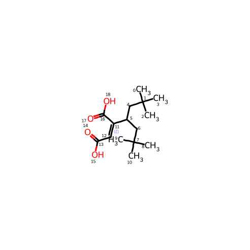 CC(C)(C)CC(CC(C)(C)C)/C(=C/C(=O)O)C(=O)O